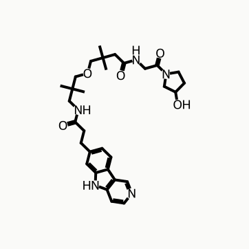 CC(C)(CNC(=O)CCc1ccc2c(c1)[nH]c1ccncc12)COCC(C)(C)CC(=O)NCC(=O)N1CCC(O)C1